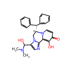 CN(C)C(O)c1cnc2n1C[C@H](C(c1ccccc1)c1ccccc1)n1ccc(=O)c(O)c1-2